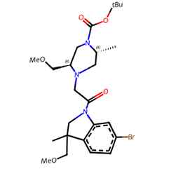 COC[C@H]1CN(C(=O)OC(C)(C)C)[C@H](C)CN1CC(=O)N1CC(C)(COC)c2ccc(Br)cc21